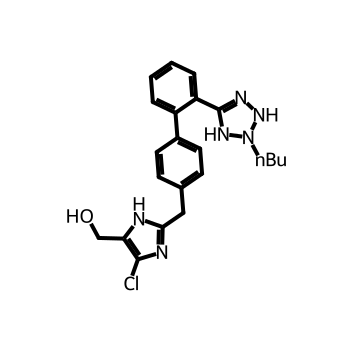 CCCCN1NN=C(c2ccccc2-c2ccc(Cc3nc(Cl)c(CO)[nH]3)cc2)N1